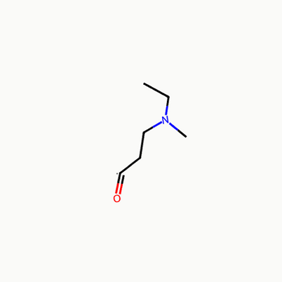 CCN(C)CC[C]=O